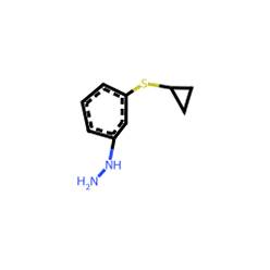 NNc1cccc(SC2CC2)c1